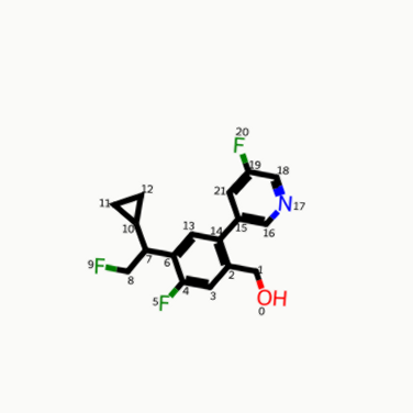 OCc1cc(F)c(C(CF)C2CC2)cc1-c1cncc(F)c1